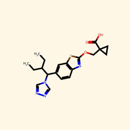 CCC(CC)C(c1ccc2nc(OCC3(C(=O)O)CC3)sc2c1)n1cnnc1